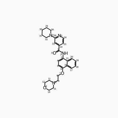 O=C(Nc1ccc(OCCN2CCOCC2)c2ccccc12)c1ccnc(N2CCCCC2)c1